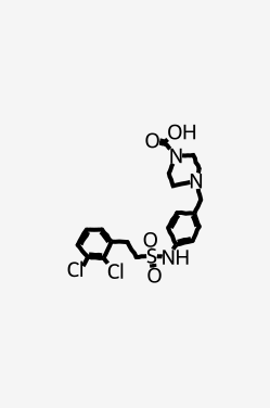 O=C(O)N1CCN(Cc2ccc(NS(=O)(=O)CCc3cccc(Cl)c3Cl)cc2)CC1